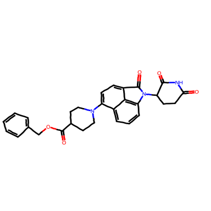 O=C1CCC(N2C(=O)c3ccc(N4CCC(C(=O)OCc5ccccc5)CC4)c4cccc2c34)C(=O)N1